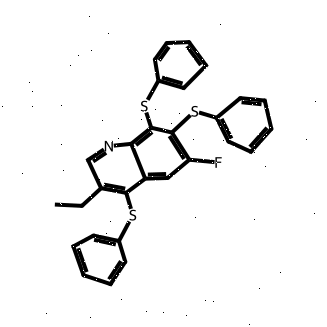 CCc1cnc2c(Sc3ccccc3)c(Sc3ccccc3)c(F)cc2c1Sc1ccccc1